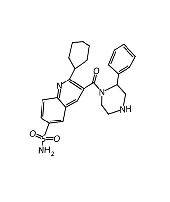 NS(=O)(=O)c1ccc2nc(C3CCCCC3)c(C(=O)N3CCNCC3c3ccccc3)cc2c1